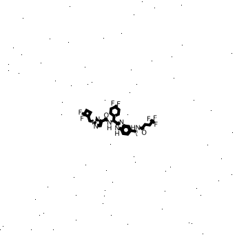 C[C@@H](NC(=O)CCC(F)(F)F)c1ccc2[nH]c([C@@H](NC(=O)c3cnn(CC4CCC4(F)F)n3)C3CCC(F)(F)CC3)nc2c1